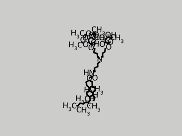 CC(=O)OC1[C@@H](OC(C)=O)C(C)O[C@@H](OCCCCN(CCCCCNC(=O)O[C@@H]2CC[C@@]3(C)C(=CC[C@H]4[C@@H]5CC[C@H]([C@H](C)CCCC(C)C)[C@@]5(C)CC[C@@H]43)C2)CCCCO[C@@H]2OC(C)[C@H](O)C(O)[C@@H]2O)[C@H]1OC(C)=O